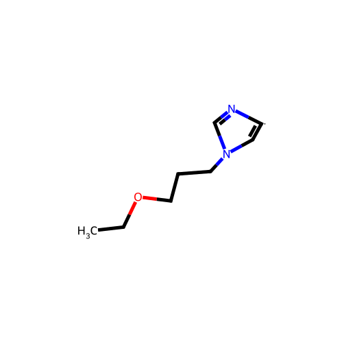 CCOCCCn1c[c]nc1